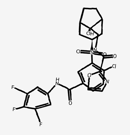 O=C(Nc1cc(F)c(F)c(F)c1)c1ccc(Cl)c(S(=O)(=O)[C@H]2CC3CCC(C2)[C@]3(O)CNC(=O)c2ncco2)c1